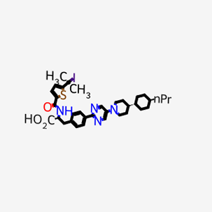 CCC[C@H]1CC[C@H](C2CCN(c3cnc(-c4ccc(C[C@H](NC(=O)c5ccc(C(C)(C)I)s5)C(=O)O)cc4)nc3)CC2)CC1